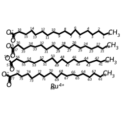 CCCCCCCCCCCCCCCCCC(=O)[O-].CCCCCCCCCCCCCCCCCC(=O)[O-].CCCCCCCCCCCCCCCCCC(=O)[O-].CCCCCCCCCCCCCCCCCC(=O)[O-].[Ru+4]